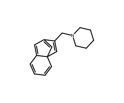 C1=CC2=CC3=CC2(C=C1)C=C3CN1CCCCC1